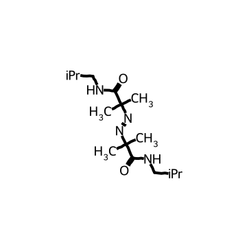 CC(C)CNC(=O)C(C)(C)N=NC(C)(C)C(=O)NCC(C)C